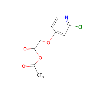 O=C(COc1ccnc(Cl)c1)OC(=O)C(F)(F)F